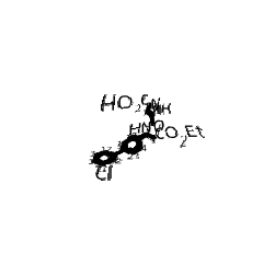 CCOC(=O)CC(NC(=O)c1cc(C(=O)O)n[nH]1)c1ccc(-c2cccc(Cl)c2)cc1